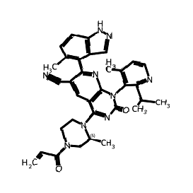 C=CC(=O)N1CCN(c2nc(=O)n(-c3c(C)ccnc3C(C)C)c3nc(-c4c(C)ccc5[nH]ncc45)c(C#N)cc23)[C@@H](C)C1